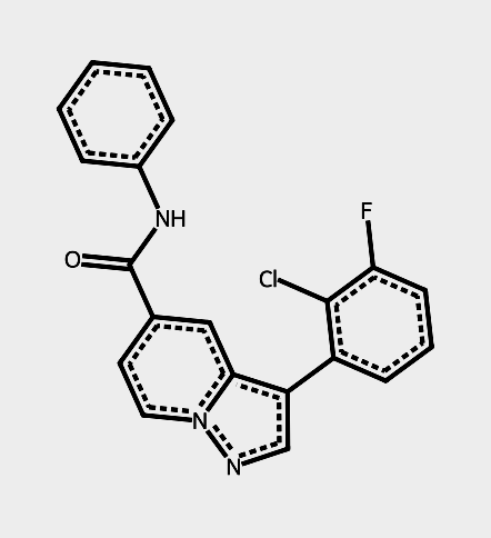 O=C(Nc1ccccc1)c1ccn2ncc(-c3cccc(F)c3Cl)c2c1